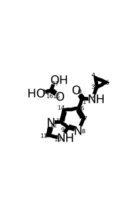 O=C(NC1CC1)c1cnc2[nH]cnc2c1.O=C(O)O